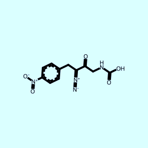 [N-]=[N+]=C(Cc1ccc([N+](=O)[O-])cc1)C(=O)CNC(=O)O